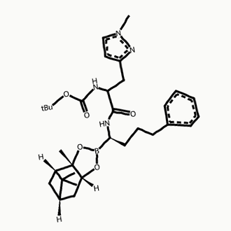 Cn1ccc(CC(NC(=O)OC(C)(C)C)C(=O)N[C@@H](CCCc2ccccc2)B2O[C@@H]3C[C@@H]4C[C@@H](C4(C)C)[C@]3(C)O2)n1